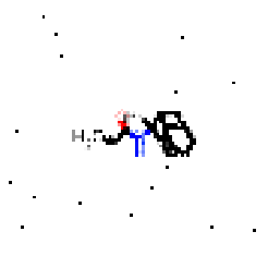 C=CC(=O)NC1(C(C)C)C2CC3CC(C2)CC1C3